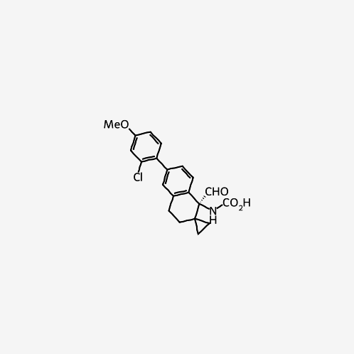 COc1ccc(-c2ccc3c(c2)CCC2(CC2)[C@]3(C=O)NC(=O)O)c(Cl)c1